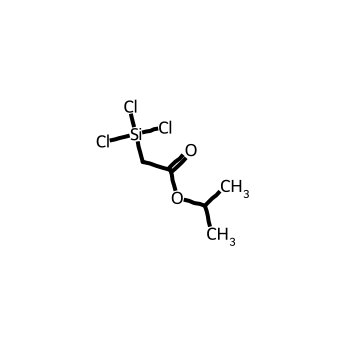 CC(C)OC(=O)C[Si](Cl)(Cl)Cl